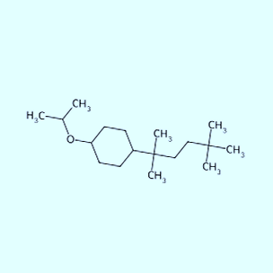 CC(C)OC1CCC(C(C)(C)CCC(C)(C)C)CC1